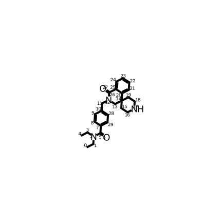 CCN(CC)C(=O)c1ccc(CN2CC3(CCNCC3)c3ccccc3C2=O)cc1